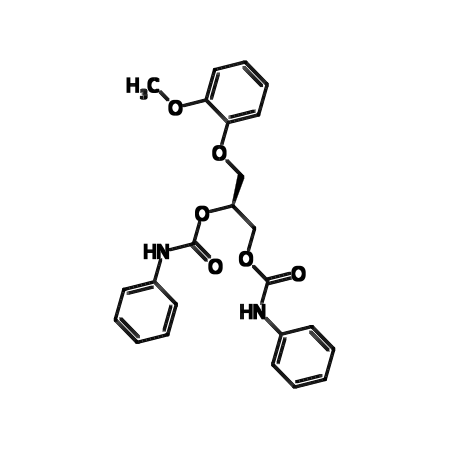 COc1ccccc1OC[C@@H](COC(=O)Nc1ccccc1)OC(=O)Nc1ccccc1